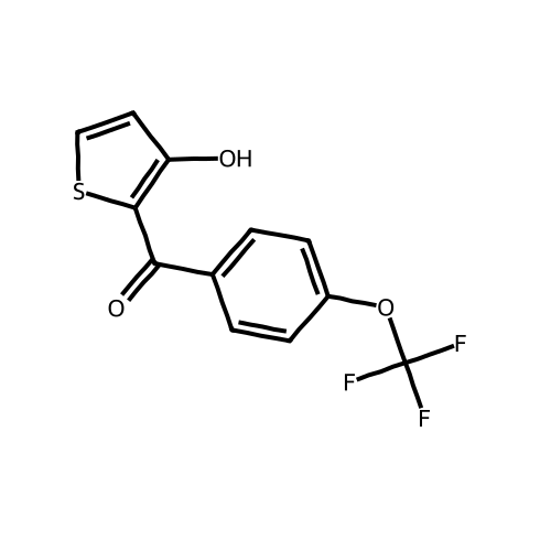 O=C(c1ccc(OC(F)(F)F)cc1)c1sccc1O